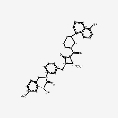 CCCc1cccc2c(C3CCCN(C(=O)N4C(=O)[C@H](Cc5ccnc(N(Cc6ccc(OC)cc6)C(=O)OC(C)(C)C)c5)[C@H]4C(=O)O)C3)cccc12